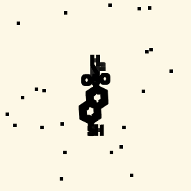 NS(=O)(=O)c1ccc2cc(S)ccc2c1